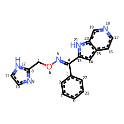 c1ccc(/C(=N\OCc2ncc[nH]2)c2cc3ccncc3[nH]2)cc1